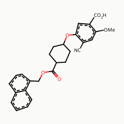 COc1cc(C#N)c(OC2CCC(C(=O)OCc3cccc4ccccc34)CC2)cc1C(=O)O